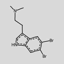 CN(C)CCc1c[nH]c2cc(Br)c(Br)cc12